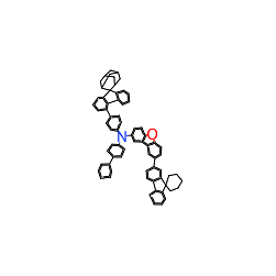 c1ccc(-c2ccc(N(c3ccc(-c4cccc5c4-c4ccccc4C54C5CC6CC(C5)CC4C6)cc3)c3ccc4oc5ccc(-c6ccc7c(c6)C6(CCCCC6)c6ccccc6-7)cc5c4c3)cc2)cc1